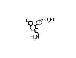 C=C1C(=C2CCN(C(=O)OCC)CC2)c2ccc(I)cc2CC/C1=C/C=C\N